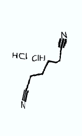 Cl.Cl.N#CCCCCC#N